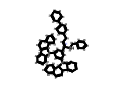 C1=CC2c3ccccc3N(c3cc(/C(=C/Cc4ccc(-c5ccccc5)cc4)NCc4ccccc4)cc(-n4c5ccccc5c5ccc6ccccc6c54)c3)C2c2ccccc21